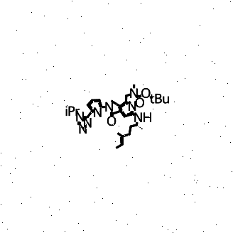 C/C=C(\C)CC[C@@H](C)Nc1cc2c(c(CN(C)C(=O)OC(C)(C)C)n1)CN(c1cccc(-c3nncn3C(C)C)n1)C2=O